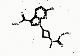 COC(=O)c1cn(C2CC(N(C)C(=O)OC(C)(C)C)C2)c2nc(Br)ccc12